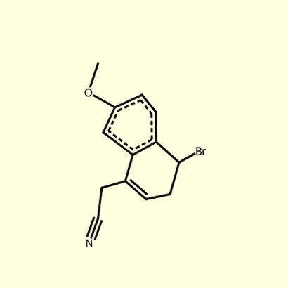 COc1ccc2c(c1)C(CC#N)=CCC2Br